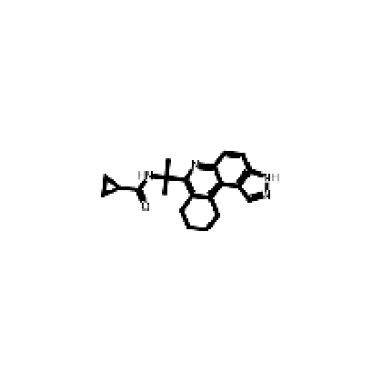 CC(C)(NC(=O)C1CC1)c1nc2ccc3[nH]ncc3c2c2c1CCCC2